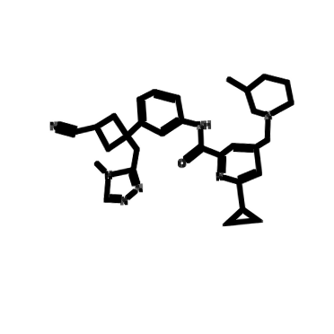 CC1CCCN(Cc2cc(C(=O)Nc3cccc(C4(Cc5nncn5C)CC(C#N)C4)c3)nc(C3CC3)c2)C1